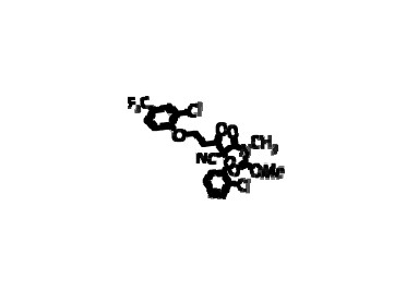 COC(=O)N(C)C(=O)C(C#N)(Oc1ccccc1Cl)C(=O)CCOc1ccc(C(F)(F)F)cc1Cl